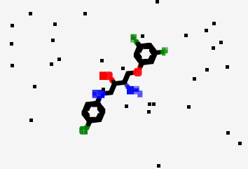 N[C@@H](COc1cc(F)cc(F)c1)[C@H](O)CNc1ccc(Cl)cc1